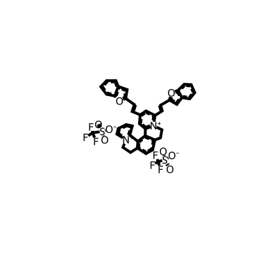 C(=Cc1cc2ccccc2o1)c1cc(C=Cc2cc3ccccc3o2)[n+]2c(c1)-c1c(ccc3c1-c1cccc[n+]1CC3)CC2.O=S(=O)([O-])C(F)(F)F.O=S(=O)([O-])C(F)(F)F